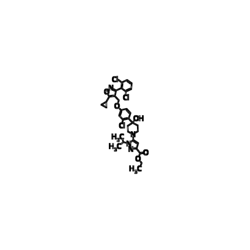 CCOC(=O)c1cc(N2CCC(O)(c3ccc(OCc4c(-c5c(Cl)cccc5Cl)noc4C4CC4)cc3Cl)CC2)n(C(C)C)n1